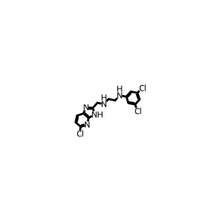 Clc1cc(Cl)cc(NCCNCc2nc3ccc(Cl)nc3[nH]2)c1